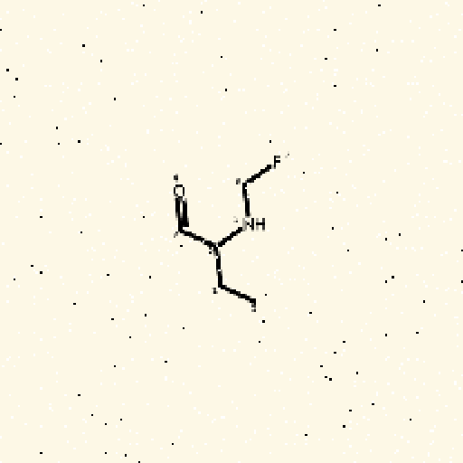 CCC(C=O)NCF